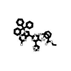 CCOC(=O)[C@@H]1C2CCC(CC2)[C@H]1Nc1nc(-c2cn(C(c3ccccc3)(c3ccccc3)c3ccccc3)c3ncc(Cl)nc23)nc(-c2cnns2)c1F